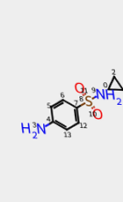 C1CC1.Nc1ccc(S(N)(=O)=O)cc1